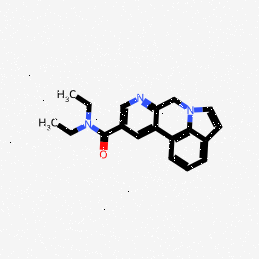 CCN(CC)C(=O)c1cnc2c(c1)-c1cccc3ccn(c13)C2